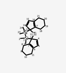 C[Si]1(C)[C]2(C=CC3=C2CCCC3)[Ti][C]2(C=CC3=C2CCCC3)[Si]1(C)C